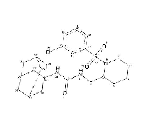 O=C(NCC1CCCCN1S(=O)(=O)c1cccc(Cl)c1)NC12CC3CC(CC(C3)C1)C2